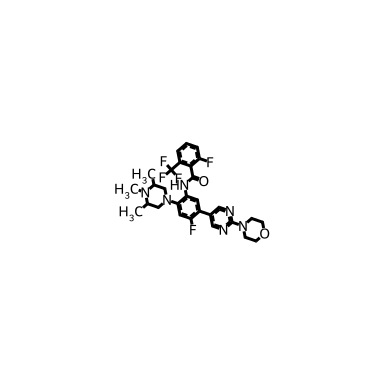 CC1CN(c2cc(F)c(-c3cnc(N4CCOCC4)nc3)cc2NC(=O)c2c(F)cccc2C(F)(F)F)CC(C)N1C